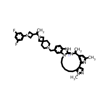 C=C1/N=C2\Nc3ccc(CN4CCC5(CC4)CN(C(=C)C4CN(c6cc(F)cc(F)c6)C4)C5)cc3N2CCCCCCc2c(cnn2C)-c2cc1cc(C)n2